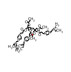 C=CC(=O)OCC(COCC(COC(=O)C=C)(COC(=O)CCN1CCN(CCN(CC)CC)CC1)COC(=O)CCN1CCN(CCN(CC)CC)CC1)(COC(=O)C=C)COC(=O)CCN1CCN(CCN(CC)CC)CC1